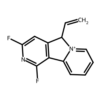 C=CC1c2cc(F)nc(F)c2-c2cccc[n+]21